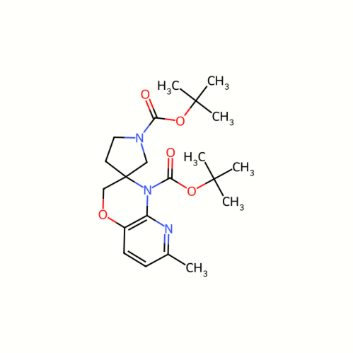 Cc1ccc2c(n1)N(C(=O)OC(C)(C)C)C1(CCN(C(=O)OC(C)(C)C)C1)CO2